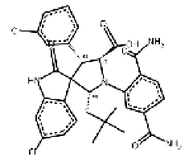 CC(C)(C)C[C@H]1N(c2cc(C(N)=O)ccc2C(N)=O)[C@H](C(=O)O)[C@@H](c2cccc(Cl)c2)C12C(=O)Nc1cc(Cl)ccc12